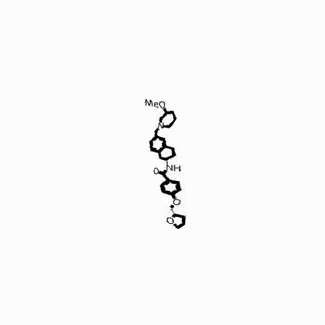 COC1CCCN(Cc2ccc3c(c2)CC[C@H](NC(=O)c2ccc(OC[C@@H]4CCCO4)cc2)C3)C1